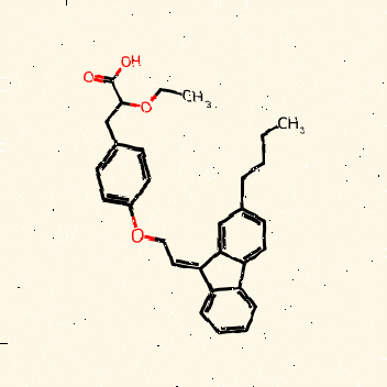 CCCCc1ccc2c(c1)C(=CCOc1ccc(CC(OCC)C(=O)O)cc1)c1ccccc1-2